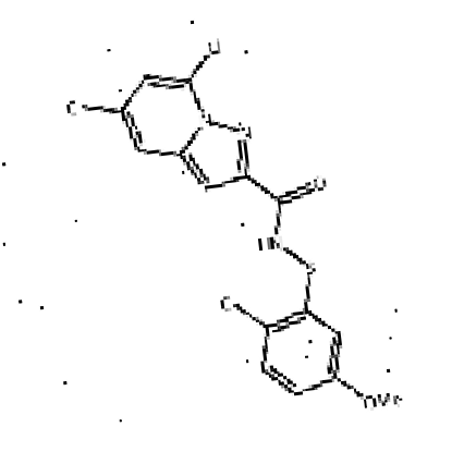 COc1ccc(Cl)c(SNC(=O)c2cc3cc(Cl)cc(Cl)n3n2)c1